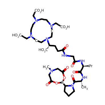 CC(C)[C@H](NC(=O)CNC(=O)CC[C@H](C(=O)O)N1CCN(CC(=O)O)CCN(CC(=O)O)CCN(CC(=O)O)CC1)C(=O)N[C@H](C)C(=O)N1CCCC1B1OC(=O)CN(C)CC(=O)O1